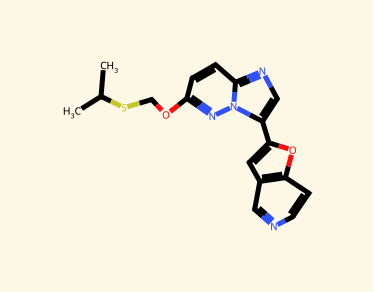 CC(C)SCOc1ccc2ncc(-c3cc4cnccc4o3)n2n1